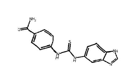 NC(=O)c1ccc(NC(=S)Nc2ccc3[nH]cnc3c2)cc1